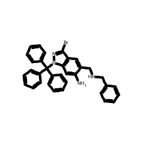 Nc1cc2c(cc1CNCc1ccccc1)c(Br)nn2C(c1ccccc1)(c1ccccc1)c1ccccc1